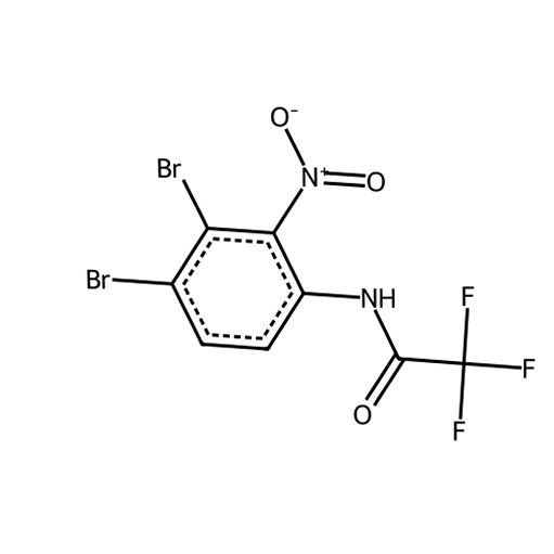 O=C(Nc1ccc(Br)c(Br)c1[N+](=O)[O-])C(F)(F)F